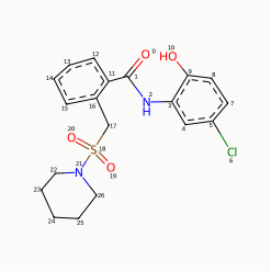 O=C(Nc1cc(Cl)ccc1O)c1ccccc1CS(=O)(=O)N1CCCCC1